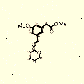 COC(=O)Cc1cc(COC2CCCCO2)cc(OC)c1